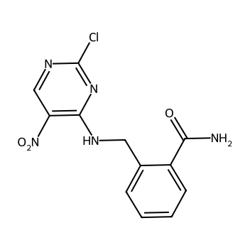 NC(=O)c1ccccc1CNc1nc(Cl)ncc1[N+](=O)[O-]